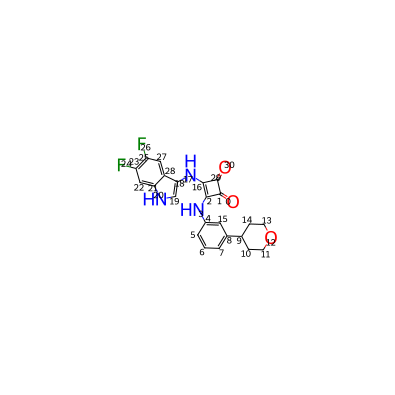 O=c1c(Nc2cccc(C3CCOCC3)c2)c(Nc2c[nH]c3cc(F)c(F)cc23)c1=O